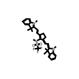 CN1/C(=C/C=C2\CCC(/C=C/C3=[N+](C)c4ccccc4C3(C)C)=C2N(C)S(=O)(=O)C(F)(F)F)C(C)(C)c2ccccc21